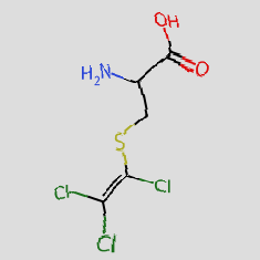 NC(CSC(Cl)=C(Cl)Cl)C(=O)O